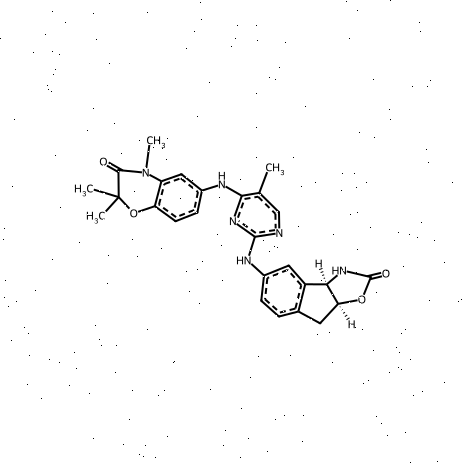 Cc1cnc(Nc2ccc3c(c2)[C@H]2NC(=O)O[C@H]2C3)nc1Nc1ccc2c(c1)N(C)C(=O)C(C)(C)O2